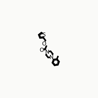 Cc1ccccc1N1CCN(C(=O)COCc2cccs2)CC1